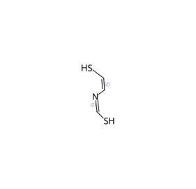 S/C=C\N=C/S